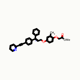 COC(=O)COc1ccc(OC/C=C(\c2ccccc2)c2ccc(C#Cc3ccccn3)cc2)cc1C